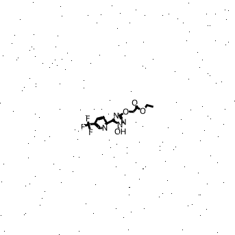 CCOC(=O)COc1nc(-c2ccc(C(F)(F)F)cn2)n(O)n1